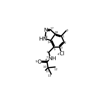 Cc1cc(Cl)c(CNC(=O)C(C)(C)C)c2[nH]ncc12